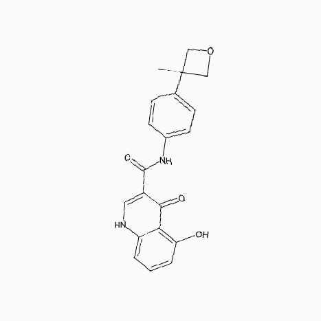 CC1(c2ccc(NC(=O)c3c[nH]c4cccc(O)c4c3=O)cc2)COC1